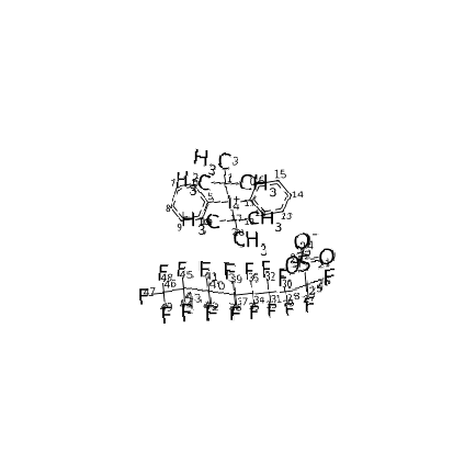 CC(C)(C)[I+](c1ccccc1)(c1ccccc1)C(C)(C)C.O=S(=O)([O-])C(F)(F)C(F)(F)C(F)(F)C(F)(F)C(F)(F)C(F)(F)C(F)(F)C(F)(F)F